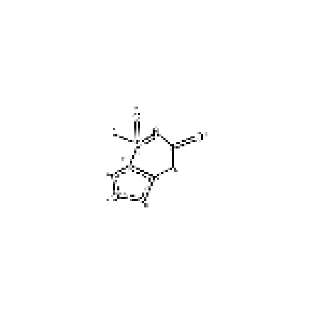 CS1(=O)=NC(=O)Cc2cocc21